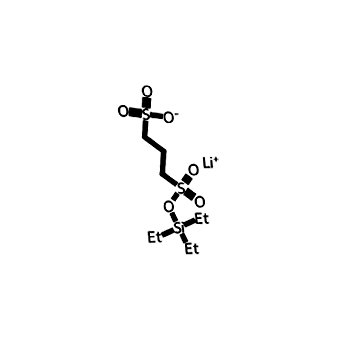 CC[Si](CC)(CC)OS(=O)(=O)CCCS(=O)(=O)[O-].[Li+]